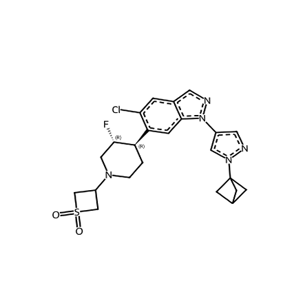 O=S1(=O)CC(N2CC[C@H](c3cc4c(cnn4-c4cnn(C56CC(C5)C6)c4)cc3Cl)[C@@H](F)C2)C1